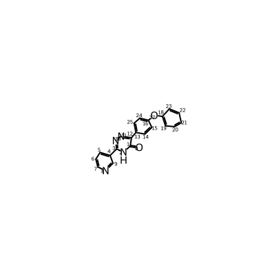 O=c1[nH]c(-c2cccnc2)nnc1-c1ccc(Oc2ccccc2)cc1